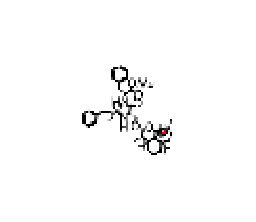 COC(=O)[C@H](Cc1ccccc1)NC(=O)[C@H](CO[C@H]1O[C@@H]2O[C@@]3(C)CC[C@H]4[C@H](C)CC[C@@H]([C@H]1C)C24OO3)NC(=O)OCc1ccccc1